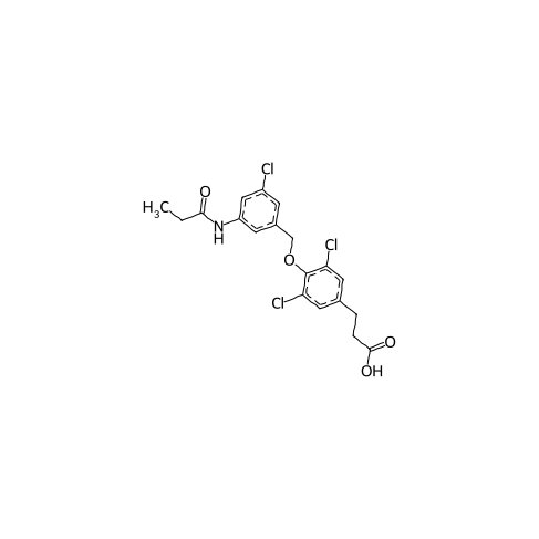 CCC(=O)Nc1cc(Cl)cc(COc2c(Cl)cc(CCC(=O)O)cc2Cl)c1